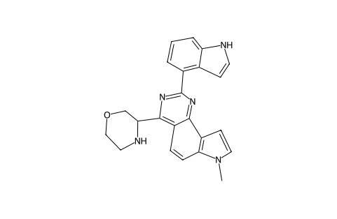 Cn1ccc2c3nc(-c4cccc5[nH]ccc45)nc(C4COCCN4)c3ccc21